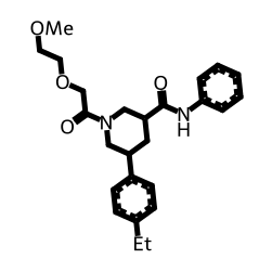 CCc1ccc(C2CC(C(=O)Nc3ccccc3)CN(C(=O)COCCOC)C2)cc1